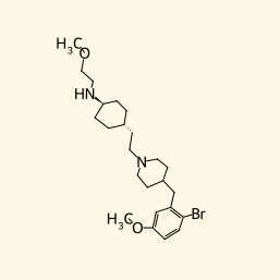 COCCN[C@H]1CC[C@H](CCN2CCC(Cc3cc(OC)ccc3Br)CC2)CC1